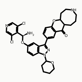 N[C@@H](Oc1ccc2c(c1)c(-c1ccc3c(c1)C(=O)C1CCCNCCC1O3)nn2C1CCCCO1)c1c(Cl)cncc1Cl